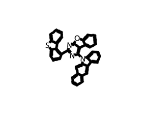 c1ccc2cc3c(cc2c1)c1ccccc1n3-c1nc(-c2cccc3sc4ccccc4c23)nc2oc3ccccc3c12